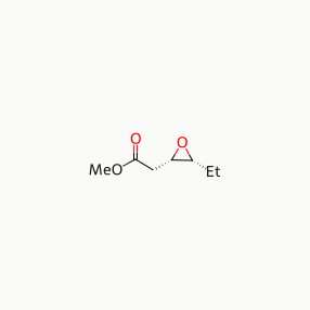 CC[C@H]1O[C@H]1CC(=O)OC